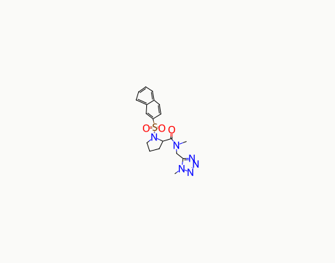 CN(Cc1nnnn1C)C(=O)C1CCCN1S(=O)(=O)c1ccc2ccccc2c1